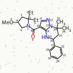 CCC1(CC)CC(OC)CN1C(=O)c1cnn2c1NC(c1ccccc1)CC2(C)C